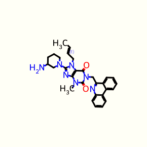 C/C=C/Cn1c(N2CCCC(N)C2)nc2c1c(=O)n(Cc1nc3ccccc3c3ccccc13)c(=O)n2C